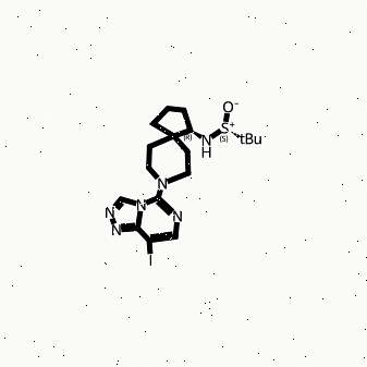 CC(C)(C)[S@@+]([O-])N[C@@H]1CCCC12CCN(c1ncc(I)c3nncn13)CC2